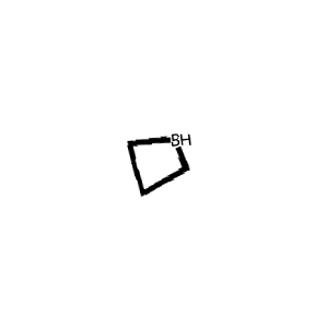 B1CCC1